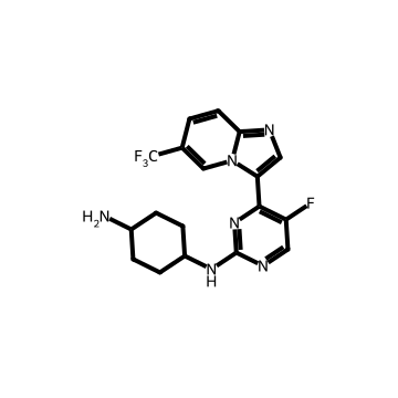 NC1CCC(Nc2ncc(F)c(-c3cnc4ccc(C(F)(F)F)cn34)n2)CC1